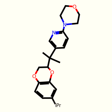 CC(C)c1ccc2c(c1)OC(C(C)(C)c1ccc(N3CCOCC3)nc1)CO2